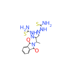 CC(C(C=NNC(N)=S)=NNC(N)=S)N1C(=O)c2ccccc2C1=O